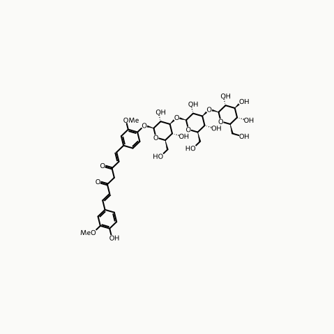 COc1cc(/C=C/C(=O)CC(=O)/C=C/c2ccc(O[C@@H]3O[C@H](CO)[C@@H](O)[C@H](O[C@@H]4O[C@H](CO)[C@@H](O)[C@H](O[C@@H]5O[C@H](CO)[C@@H](O)[C@H](O)[C@H]5O)[C@H]4O)[C@H]3O)c(OC)c2)ccc1O